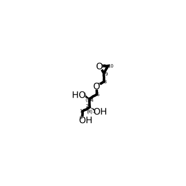 OC[C@@H](O)[C@@H](O)COCC1CO1